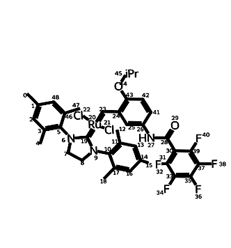 Cc1cc(C)c(N2CCN(c3c(C)cc(C)cc3C)[C]2=[Ru]([Cl])([Cl])=[CH]c2cc(NC(=O)c3c(F)c(F)c(F)c(F)c3F)ccc2OC(C)C)c(C)c1